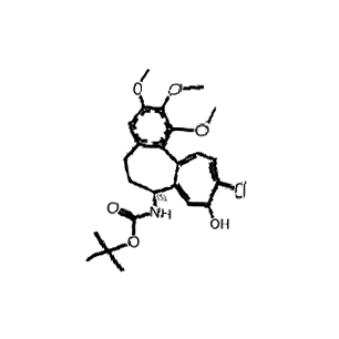 COc1cc2c(c(OC)c1OC)C1=CC=C(Cl)C(O)C=C1[C@@H](NC(=O)OC(C)(C)C)CC2